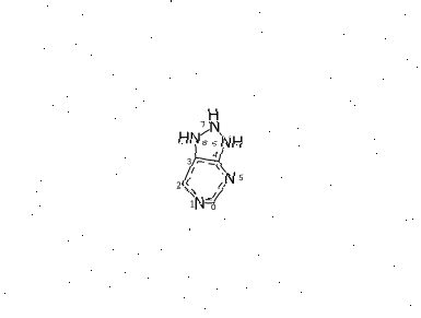 c1ncc2c(n1)NNN2